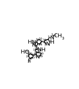 CCNCc1cncc(-c2ccc3[nH]nc(-c4cc5c(-c6cc(O)cc(F)c6)nccc5[nH]4)c3c2)c1